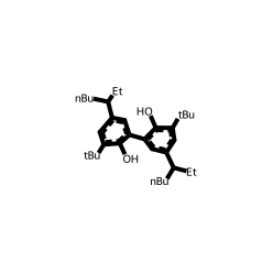 CCCCC(CC)c1cc(-c2cc(C(CC)CCCC)cc(C(C)(C)C)c2O)c(O)c(C(C)(C)C)c1